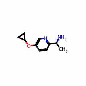 CC(N)c1ccc(OC2CC2)cn1